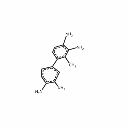 Cc1c(-c2ccc(N)c(N)c2)ccc(N)c1N